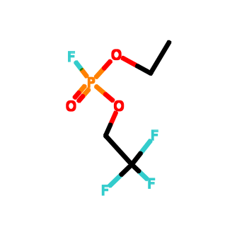 CCOP(=O)(F)OCC(F)(F)F